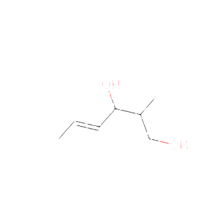 [CH2]C=CC(O)C(C)CO